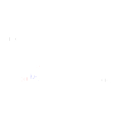 CCCCCCCCCCCCC[C@@H](CCCCCCC)CCOC[C@@H](N)CO